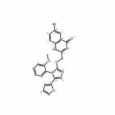 COc1ccccc1-n1c(SCc2nc(=O)c3cc(Br)ccc3[nH]2)nnc1-c1cccs1